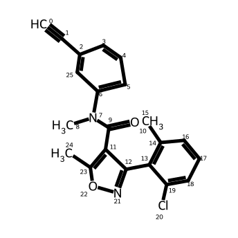 C#Cc1cccc(N(C)C(=O)c2c(-c3c(C)cccc3Cl)noc2C)c1